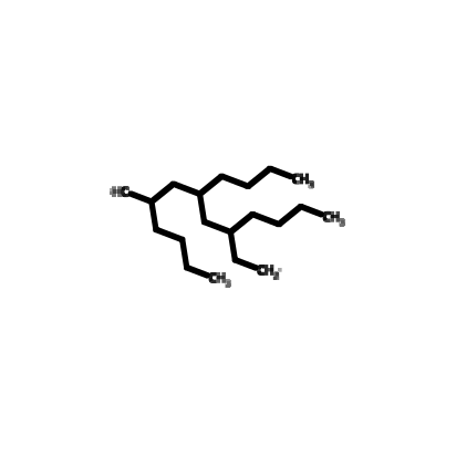 [CH]C(CCCC)CC(CCCC)CC(C[CH2])CCCC